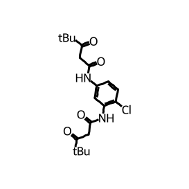 CC(C)(C)C(=O)CC(=O)Nc1ccc(Cl)c(NC(=O)CC(=O)C(C)(C)C)c1